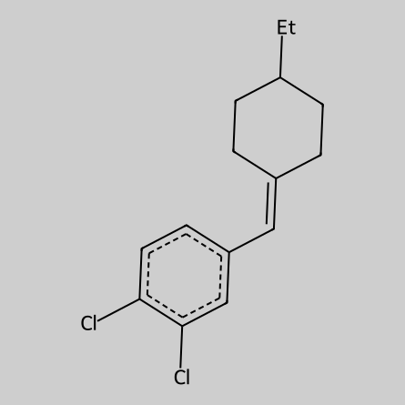 CCC1CCC(=Cc2ccc(Cl)c(Cl)c2)CC1